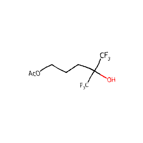 CC(=O)OCCCC(O)(C(F)(F)F)C(F)(F)F